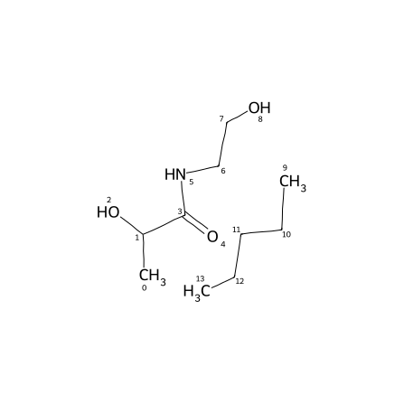 CC(O)C(=O)NCCO.CCCCC